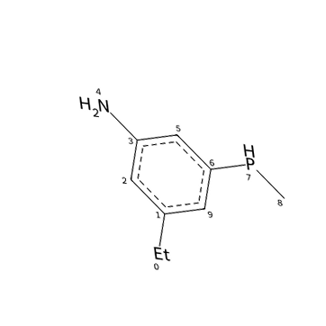 CCc1cc(N)cc(PC)c1